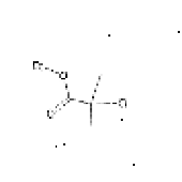 CCOC(=O)C(C)(C)Cl